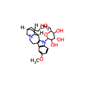 CC[C@H]1C[C@H]2C[C@H]3c4c(c5cc(OC)ccc5n4[C@H]4O[C@@H](CO)[C@@H](O)[C@H](O)C4O)CCN(C2)C13